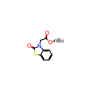 CCCCOC(=O)Cn1c(=O)sc2ccccc21